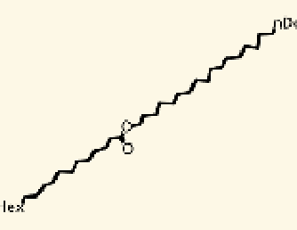 CCCCCC/C=C/CCCCCCCCCC(=O)OCCCCCCCCCCCCCCCCCCCCCCCCCCC